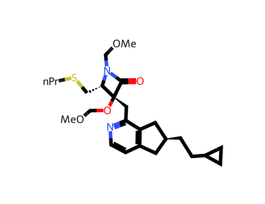 CCCSC[C@@H]1N(COC)C(=O)[C@]1(Cc1nccc2c1C[C@@H](CCC1CC1)C2)OCOC